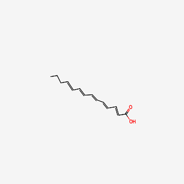 CCC/C=C/C=C/C=C/C=C/C=C/C(=O)O